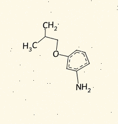 [CH2]C(C)COc1cccc(N)c1